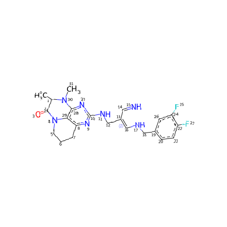 CC1C(=O)N2CCCc3nc(NC/C(C=N)=C/NCc4ccc(F)c(F)c4)nc(c32)N1C